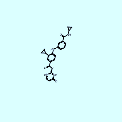 O=C(/N=c1\[nH]ccc(=O)[nH]1)c1ccc(Nc2cccc(C(=O)NC3CC3)c2)c(C2CC2)c1